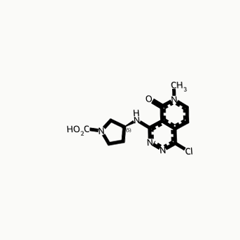 Cn1ccc2c(Cl)nnc(N[C@H]3CCN(C(=O)O)C3)c2c1=O